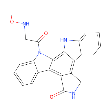 CONCC(=O)n1c2ccccc2c2c3c(c4c5ccccc5[nH]c4c21)CNC3=O